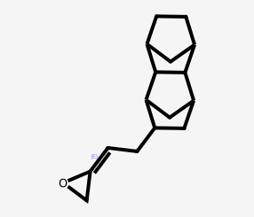 C(/CC1CC2CC1C1C3CCC(C3)C21)=C1/CO1